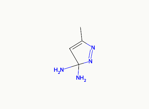 CC1=CC(N)(N)N=N1